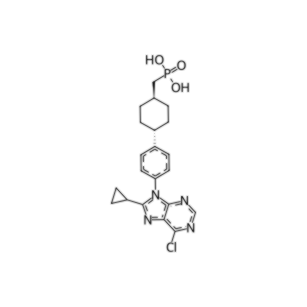 O=P(O)(O)C[C@H]1CC[C@H](c2ccc(-n3c(C4CC4)nc4c(Cl)ncnc43)cc2)CC1